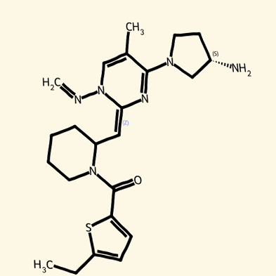 C=NN1C=C(C)C(N2CC[C@H](N)C2)=N/C1=C/C1CCCCN1C(=O)c1ccc(CC)s1